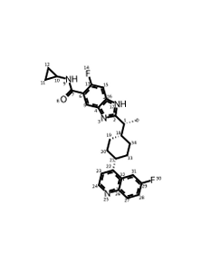 C[C@@H](c1nc2cc(C(=O)NC3CC3)c(F)cc2[nH]1)[C@H]1CC[C@@H](c2ccnc3ccc(F)cc32)CC1